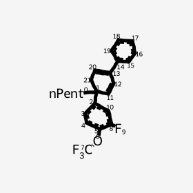 CCCCCC1(c2ccc(OC(F)(F)F)c(F)c2)C=CC(c2ccccc2)=CC1